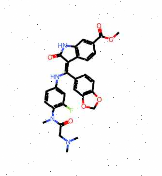 COC(=O)c1ccc2c(c1)NC(=O)/C2=C(\Nc1ccc(N(C)C(=O)CN(C)C)c(F)c1)c1ccc2c(c1)OCO2